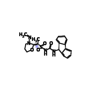 C=NN1CCCO/C1=C(/C)S(=O)(=O)NC(=O)NC1c2ccccc2-c2ccccc21